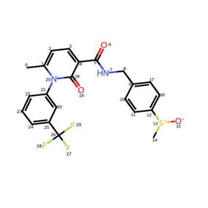 Cc1ccc(C(=O)NCc2ccc([S+](C)[O-])cc2)c(=O)n1-c1cccc(C(F)(F)F)c1